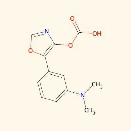 CN(C)c1cccc(-c2ocnc2OC(=O)O)c1